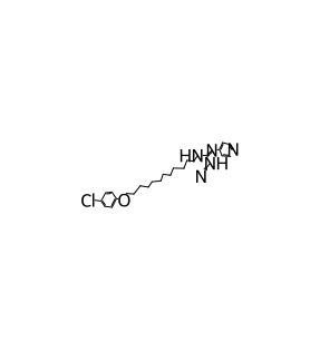 N#CN/C(=N\c1ccncc1)NCCCCCCCCCCCCOc1ccc(Cl)cc1